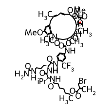 C=C(CBr)C(=O)OC(C)CCCCC(=O)N[C@H](C(=O)N[C@@H](CCCNC(N)=O)C(=O)Nc1ccc(NC(=O)O[C@H]2CC(=O)N(C)c3cc(cc(OC)c3Cl)C/C(C)=C/C=C/[C@@H](OC)[C@@]3(O)C[C@H](OC(=O)N3)[C@@H](C)[C@@H]3O[C@@]23C)cc1C(F)(F)F)C(C)C